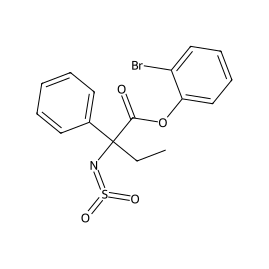 CCC(N=S(=O)=O)(C(=O)Oc1ccccc1Br)c1ccccc1